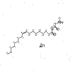 CCCCCCCC/C=C\CCCCCCCC(=O)OC(=O)CNC.[Zn]